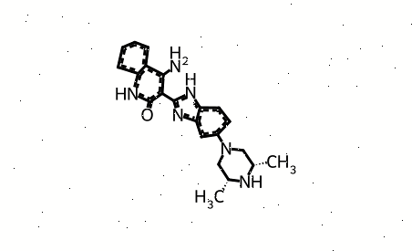 C[C@@H]1CN(c2ccc3[nH]c(-c4c(N)c5ccccc5[nH]c4=O)nc3c2)C[C@H](C)N1